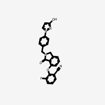 N#Cc1cccc(F)c1Oc1cccc2c1C(=O)N(Cc1ccc(-n3ccc(O)n3)cc1)C2